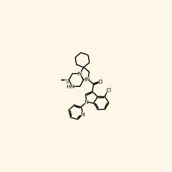 C[C@H]1CN(C2(CNC(=O)c3cn(-c4ccccn4)c4cccc(Cl)c34)CCCCC2)CCN1